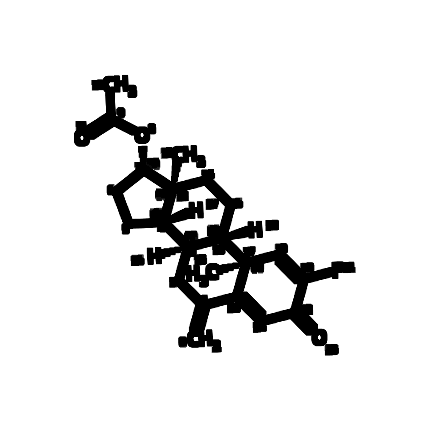 C=C1C[C@H]2[C@@H]3CC[C@H](OC(C)=O)[C@@]3(C)CC[C@@H]2[C@@]2(C)C=C(F)C(=O)C=C12